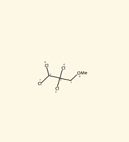 [CH2]OCC(Cl)(Cl)C(Cl)Cl